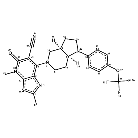 Cc1nc2c(N3CC[C@H]4[C@H](CCN4c4ccc(OC(F)(F)F)cn4)C3)c(C#N)c(=O)n(C)c2s1